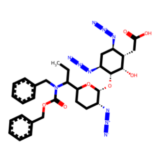 CCC(C1CC[C@@H](N=[N+]=[N-])[C@@H](O[C@H]2[C@@H](O)[C@@H](CC(=O)O)[C@H](N=[N+]=[N-])C[C@@H]2N=[N+]=[N-])O1)N(Cc1ccccc1)C(=O)OCc1ccccc1